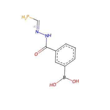 O=C(N/N=C/P)c1cccc(B(O)O)c1